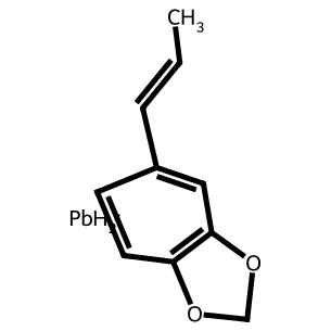 CC=Cc1ccc2c(c1)OCO2.[PbH2]